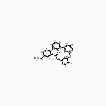 Cc1ccc(NC(=O)c2cccc(CN)c2)cc1Oc1nccc(-c2cccnc2)n1